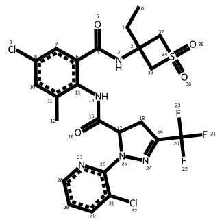 CCC1(NC(=O)c2cc(Cl)cc(C)c2NC(=O)C2CC(C(F)(F)F)=NN2c2ncccc2Cl)CS(=O)(=O)C1